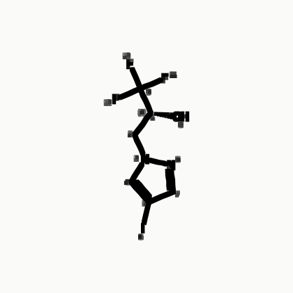 O[C@H](Cn1cc(I)cn1)C(F)(F)F